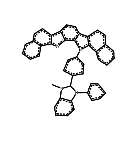 CN1c2ccccc2N(c2ccccc2)C1c1ccc(-n2c3c4ccccc4ccc3c3ccc4c5ccc6ccccc6c5oc4c32)cc1